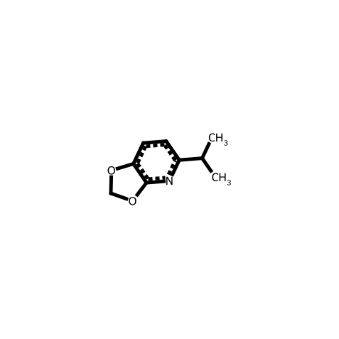 CC(C)c1ccc2c(n1)OCO2